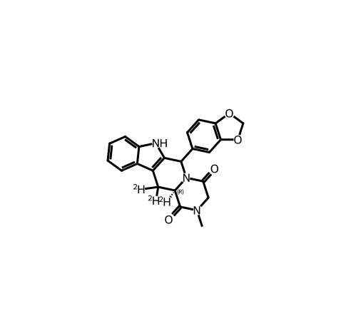 [2H]C1([2H])c2c([nH]c3ccccc23)C(c2ccc3c(c2)OCO3)N2C(=O)CN(C)C(=O)[C@]21[2H]